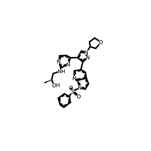 C[C@H](O)CNc1nccc(-c2cn(C3CCOC3)nc2-c2cnc3c(ccn3S(=O)(=O)c3ccccc3)c2)n1